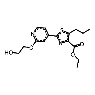 CCCc1sc(-c2ccnc(OCCO)c2)nc1C(=O)OCC